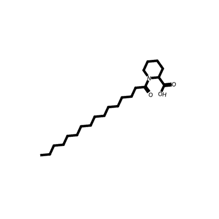 CCCCCCCCCCCCCCCC(=O)N1CCCCC1C(=O)O